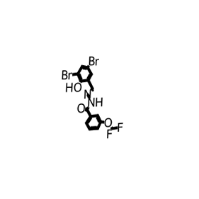 O=C(NN=Cc1cc(Br)cc(Br)c1O)c1cccc(OC(F)F)c1